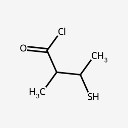 CC(S)C(C)C(=O)Cl